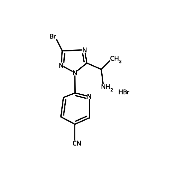 Br.CC(N)c1nc(Br)nn1-c1ccc(C#N)cn1